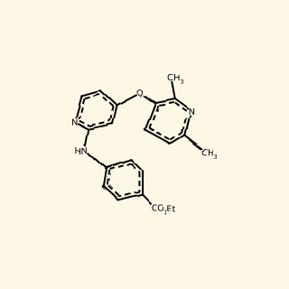 CCOC(=O)c1ccc(Nc2cc(Oc3ccc(C)nc3C)ccn2)cc1